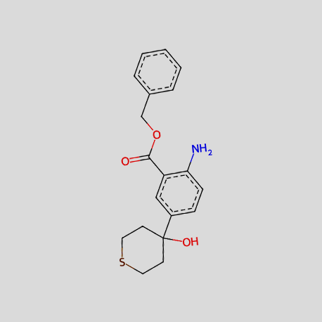 Nc1ccc(C2(O)CCSCC2)cc1C(=O)OCc1ccccc1